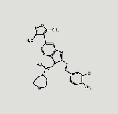 Cc1ccc(CCc2nc3cc(-c4c(C)noc4C)ccc3n2C[C@H](C)N2CCOCC2)cc1Cl